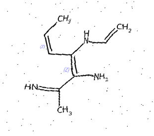 C=CNC(/C=C\C)=C(\N)C(C)=N